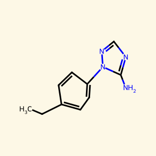 CCc1ccc(-n2ncnc2N)cc1